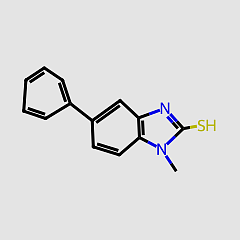 Cn1c(S)nc2cc(-c3ccccc3)ccc21